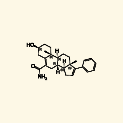 C[C@]12CC[C@H](O)CC1=C(C(N)=O)C[C@@H]1[C@@H]2CC[C@]2(C)C(c3ccccc3)=CC[C@@H]12